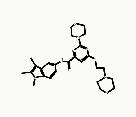 Cc1c(C)n(C)c2ccc(NC(=O)c3cc(OCCN4CCOCC4)nc(N4CCOCC4)n3)cc12